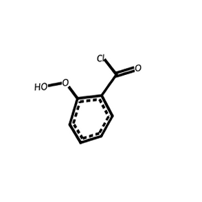 O=C(Cl)c1ccccc1OO